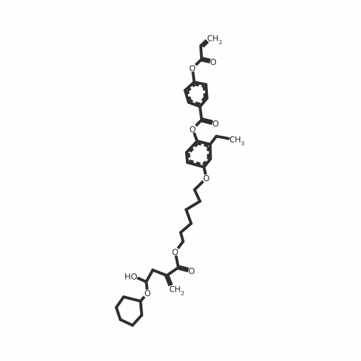 C=CC(=O)Oc1ccc(C(=O)Oc2ccc(OCCCCCCOC(=O)C(=C)CC(O)OC3CCCCC3)cc2CC)cc1